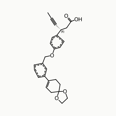 CC#C[C@H](CC(=O)O)c1ccc(OCc2cccc(C3=CCC4(CC3)OCCO4)c2)cc1